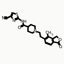 Cc1c(CCN2CCC(C(=O)Nc3nc(C#N)cs3)CC2)ccc2c1COC2=O